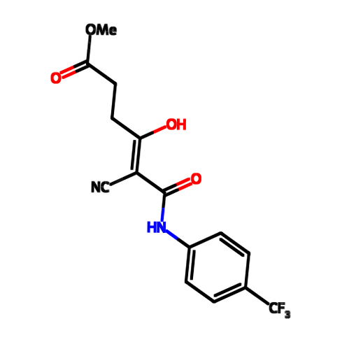 COC(=O)CC/C(O)=C(\C#N)C(=O)Nc1ccc(C(F)(F)F)cc1